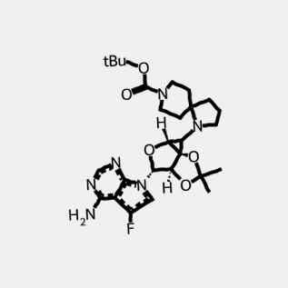 CC(C)(C)OC(=O)N1CCC2(CCCN2C2[C@H]3O[C@@H](n4cc(F)c5c(N)ncnc54)[C@@H]4OC(C)(C)O[C@]234)CC1